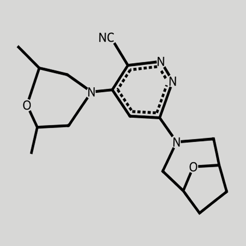 CC1CN(c2cc(N3CC4CCC(C3)O4)nnc2C#N)CC(C)O1